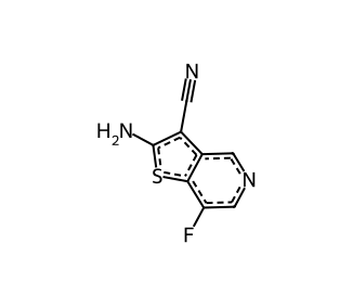 N#Cc1c(N)sc2c(F)cncc12